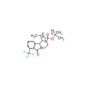 CC(C)C1C2c3cccc(C(F)(F)F)c3C(=O)N2CCN1C(=O)OC(C)(C)C